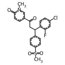 Cn1cc(C(=O)CC(c2ccc(S(C)(=O)=O)cc2)c2ccc(Cl)cc2F)ccc1=O